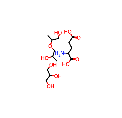 CC(O)COC(C)CO.NC(CCC(=O)O)C(=O)O.OCC(O)CO